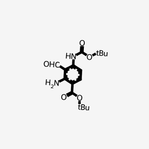 CC(C)(C)OC(=O)Nc1ccc(C(=O)OC(C)(C)C)c(N)c1C=O